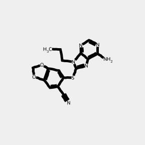 CCCn1c(Sc2cc3c(cc2C#N)OCO3)nc2c(N)ncnc21